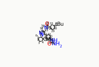 Cc1cccc(OCC(C)C)c1-n1nc2c(c1-c1ccc(NC(N)=O)cc1)CN(C(=O)c1cccc(C(C)(C)C)c1)CC2